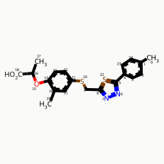 Cc1ccc(-c2nnc(CSc3ccc(OC(C)C(=O)O)c(C)c3)s2)cc1